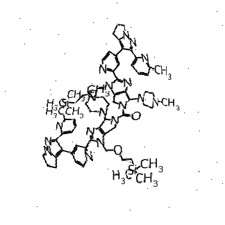 Cc1cccc(-c2nn3c(c2-c2ccnc(-c4nc5c(n4COCC[Si](C)(C)C)CN(C(=O)N4Cc6c(nc(-c7cc(-c8c(-c9cccc(C)n9)nn9c8CCC9)ccn7)n6COCC[Si](C)(C)C)C4N4CCN(C)CC4)C5N4CCN(C)CC4)c2)CCC3)n1